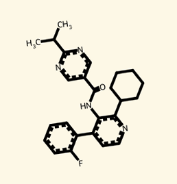 CC(C)c1ncc(C(=O)Nc2c(-c3ccccc3F)ccnc2C2CCCCC2)cn1